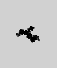 COc1c(N)ncnc1N1CCC(c2nc(-c3ccnc(C(F)(F)F)c3)cn2CCN2CCC2)CC1